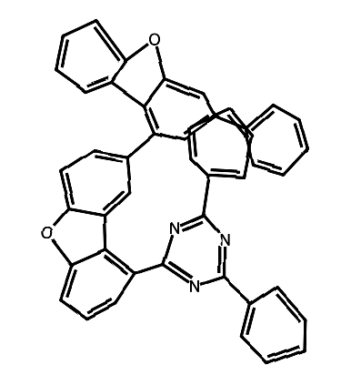 c1ccc(-c2cc(-c3ccc4oc5cccc(-c6nc(-c7ccccc7)nc(-c7ccccc7)n6)c5c4c3)c3c(c2)oc2ccccc23)cc1